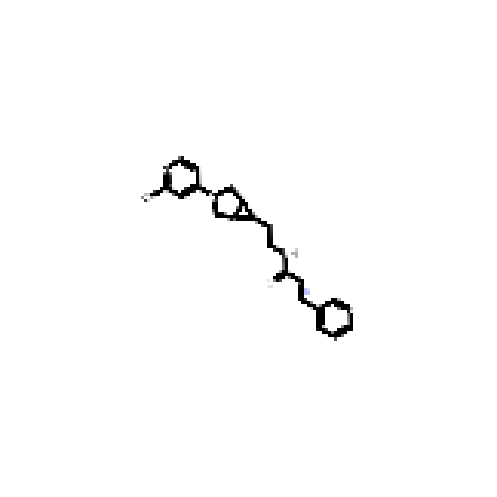 O=C(/C=C/c1cccnc1)NCCC1C2CN(c3ccnc(Cl)c3)CC12